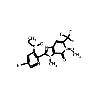 CC[S+]([O-])c1cc(Br)cnc1-c1nc2cc(C(F)(F)F)n(OC)c(=O)c2n1C